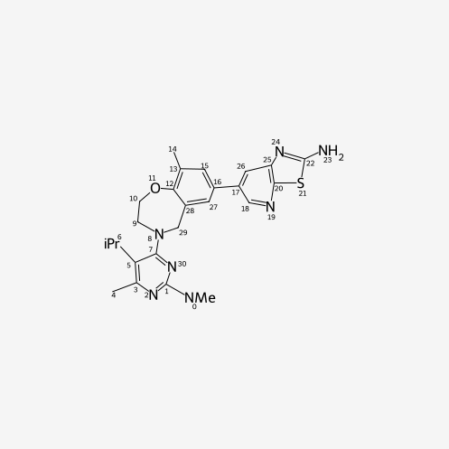 CNc1nc(C)c(C(C)C)c(N2CCOc3c(C)cc(-c4cnc5sc(N)nc5c4)cc3C2)n1